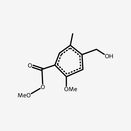 COOC(=O)c1cc(C)c(CO)cc1OC